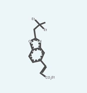 CCOC(=O)/C=C/c1ccc2oc(CC(C)(CC)CC)nc2c1